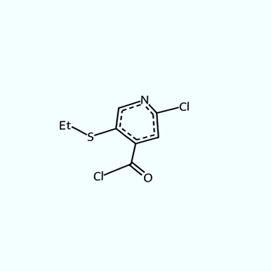 CCSc1cnc(Cl)cc1C(=O)Cl